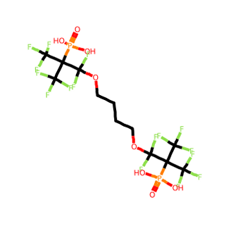 O=P(O)(O)C(C(F)(F)F)(C(F)(F)F)C(F)(F)OCCCCOC(F)(F)C(C(F)(F)F)(C(F)(F)F)P(=O)(O)O